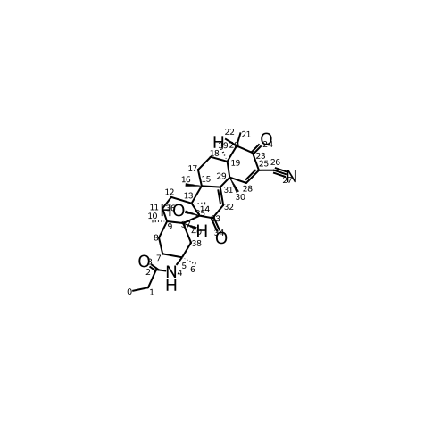 CCC(=O)N[C@@]1(C)CC[C@@]2(C)CC[C@@]3(C)[C@]4(C)CC[C@H]5C(C)(C)C(=O)C(C#N)=C[C@]5(C)C4=CC(=O)[C@]3(O)[C@@H]2C1